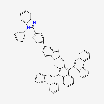 CC1(C)c2cc(-c3ccc(-c4nc5ccccc5n4-c4ccccc4)cc3)ccc2-c2cc3c(-c4cc5ccccc5c5ccccc45)c4ccccc4c(-c4cc5ccccc5c5ccccc45)c3cc21